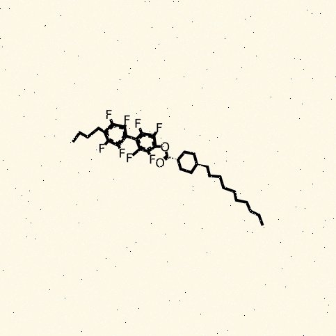 CCCCCCCCCC[C@H]1CC[C@H](C(=O)Oc2c(F)c(F)c(-c3c(F)c(F)c(CCCC)c(F)c3F)c(F)c2F)CC1